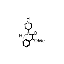 COC(C(=O)N(C)C1CCNCC1)c1ccccc1